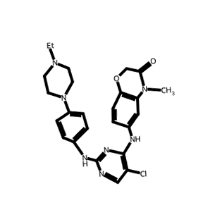 CCN1CCN(c2ccc(Nc3ncc(Cl)c(Nc4ccc5c(c4)N(C)C(=O)CO5)n3)cc2)CC1